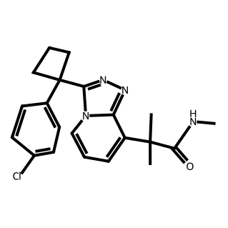 CNC(=O)C(C)(C)c1cccn2c(C3(c4ccc(Cl)cc4)CCC3)nnc12